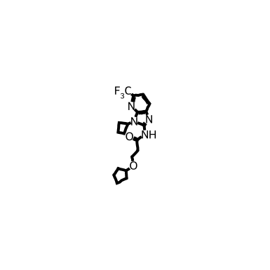 O=C(CCOC1CCCC1)Nc1nc2ccc(C(F)(F)F)nc2n1C1CCC1